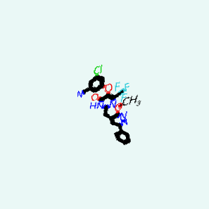 COc1nnc(-c2ccccc2)cc1Cc1nc(C(F)(F)F)c(Oc2cc(Cl)cc(C#N)c2)c(=O)[nH]1